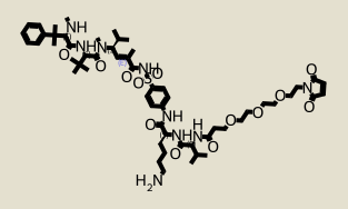 CN[C@H](C(=O)N[C@H](C(=O)N(C)[C@H](/C=C(\C)C(=O)NS(=O)(=O)c1ccc(NC(=O)[C@H](CCCCN)NC(=O)[C@@H](NC(=O)CCOCCOCCOCCN2C(=O)C=CC2=O)C(C)C)cc1)C(C)C)C(C)(C)C)C(C)(C)c1ccccc1